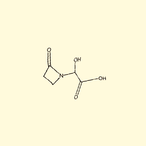 O=C(O)C(O)N1CCC1=O